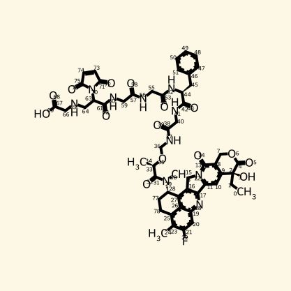 CC[C@@]1(O)C(=O)OCc2c1cc1n(c2=O)Cc2c-1nc1cc(F)c(C)c3c1c2[C@@H](N(C)C(=O)[C@@H](C)OCNC(=O)CNC(=O)[C@H](Cc1ccccc1)NC(=O)CNC(=O)CNC(=O)C(CNCC(=O)O)N1C(=O)C=CC1=O)CC3